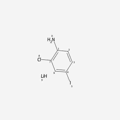 Nc1ccc(I)cc1Cl.[LiH]